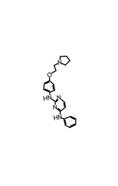 c1ccc(Nc2ccnc(Nc3ccc(OCCN4CCCC4)cc3)n2)cc1